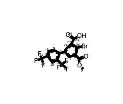 COC(=O)c1cc(-c2ccc(C(F)(F)F)cc2C(F)(F)F)cc(C(=O)O)c1Br